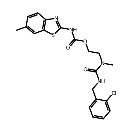 Cc1ccc2nc(NC(=O)OCCN(C)C(=O)NCc3ccccc3Cl)sc2c1